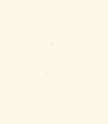 COc1ccccc1NC(=O)c1c[nH]c2c(Cl)cccc2c1=O